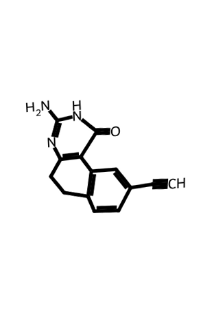 C#Cc1ccc2c(c1)-c1c(nc(N)[nH]c1=O)CC2